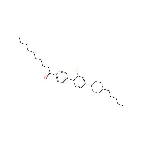 CCCCCCCCCC(=O)c1ccc(-c2ccc([C@H]3CC[C@H](CCCCC)CC3)cc2F)cc1